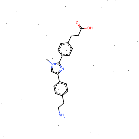 Cn1cc(-c2ccc(CCN)cc2)nc1-c1ccc(CCC(=O)O)cc1